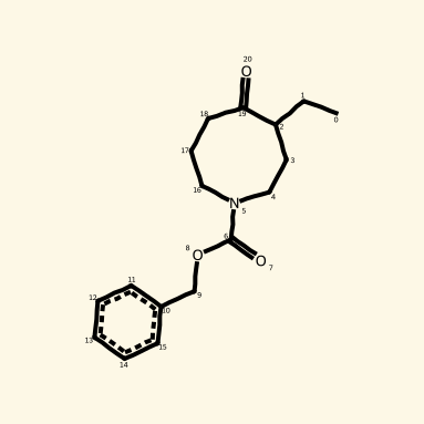 CCC1CCN(C(=O)OCc2ccccc2)CCCC1=O